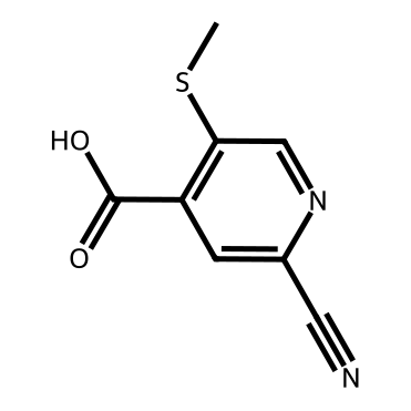 CSc1cnc(C#N)cc1C(=O)O